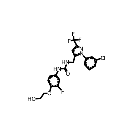 O=C(NCc1cc(C(F)(F)F)nn1-c1cccc(Cl)c1)Nc1ccc(OCCO)c(F)c1